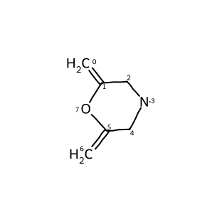 C=C1C[N]CC(=C)O1